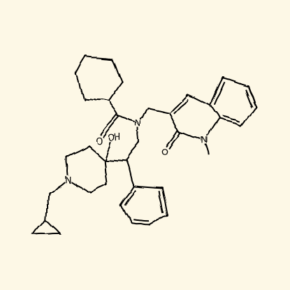 Cn1c(=O)c(CN(CC(c2ccccc2)C2(O)CCN(CC3CC3)CC2)C(=O)C2CCCCC2)cc2ccccc21